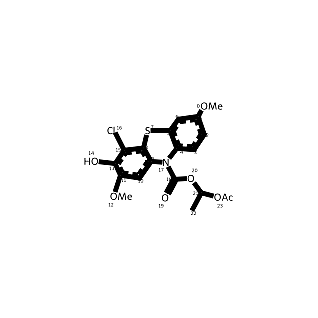 COc1ccc2c(c1)Sc1c(cc(OC)c(O)c1Cl)N2C(=O)OC(C)OC(C)=O